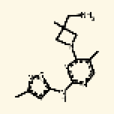 Cc1cc(Nc2ncc(C)c(N3CC(C)(CN)C3)n2)sn1